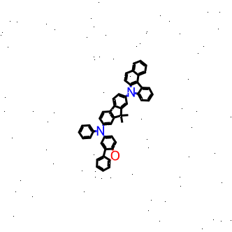 CC1(C)c2cc(N(c3ccccc3)c3ccc4oc5ccccc5c4c3)ccc2-c2ccc(-n3c4ccccc4c4c5ccccc5ccc43)cc21